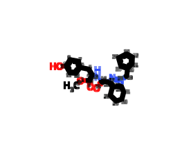 COC(=O)C(Cc1ccc(O)cc1)NC(=O)c1nn(Cc2ccccc2)c2c1CCCC2